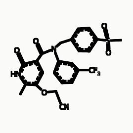 Cc1[nH]c(=O)c(C(=O)N(Cc2ccc(S(C)(=O)=O)cc2)c2cccc(C(F)(F)F)c2)cc1OCC#N